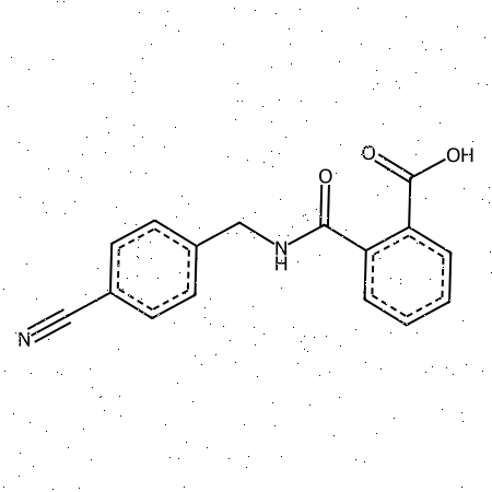 N#Cc1ccc(CNC(=O)c2ccccc2C(=O)O)cc1